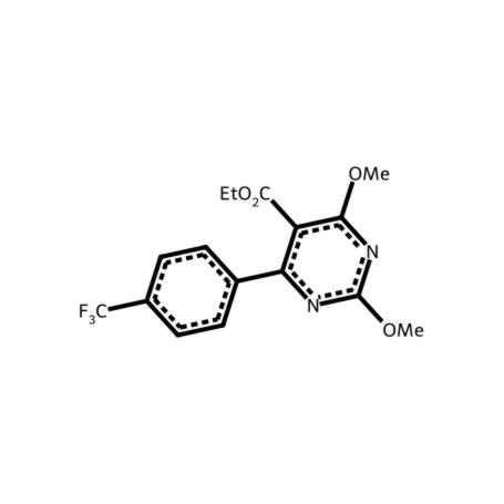 CCOC(=O)c1c(OC)nc(OC)nc1-c1ccc(C(F)(F)F)cc1